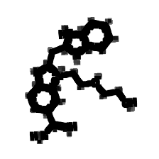 N=C(N)c1ccc2nc(Cc3nc4ccccc4[nH]3)n(CCOCCO)c2c1